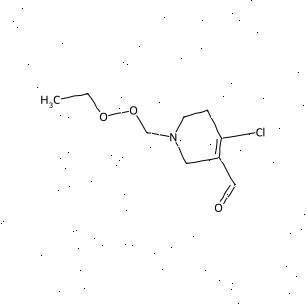 CCOOCN1CCC(Cl)=C(C=O)C1